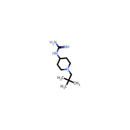 CC(C)(C)CN1CCC(NC(=N)N)CC1